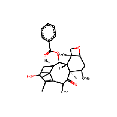 COC1C(=O)[C@]2(C)C(OC)CC3OC[C@@]3(OC(C)=O)[C@H]2[C@H](OC(=O)c2ccccc2)[C@@H]2C[C](O)C(C)=C1C2(C)C